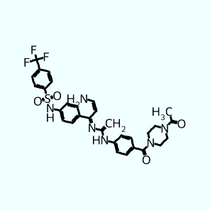 C=C(/N=C(\C=C/N)c1ccc(NS(=O)(=O)c2ccc(C(F)(F)F)cc2)cc1)Nc1ccc(C(=O)N2CCN(C(C)=O)CC2)cc1